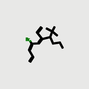 C=C/C=C(Br)\C=C(/C=C)C(CCC)C(C)(C)C